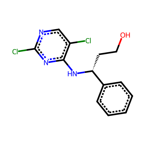 OCC[C@@H](Nc1nc(Cl)ncc1Cl)c1ccccc1